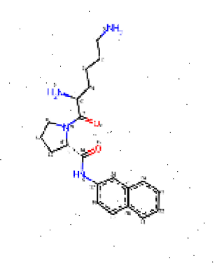 NCCCC[C@H](N)C(=O)N1CCC[C@H]1C(=O)Nc1ccc2ccccc2c1